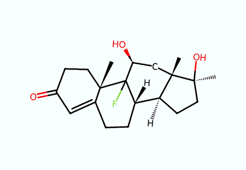 C[C@]12CCC(=O)C=C1CC[C@H]1[C@@H]3CC[C@](C)(O)[C@@]3(C)C[C@H](O)C12F